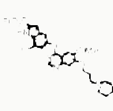 CCOC(=O)c1cc2cc(Oc3ncnc4cc(OCCCN5CCCCC5)c(OC)cc34)cc(Cl)c2[nH]1